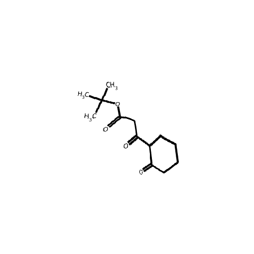 CC(C)(C)OC(=O)CC(=O)C1CCCCC1=O